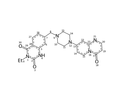 CCn1c(=O)[nH]c2cc(CN3CCN(c4ccn5c(=O)ccnc5c4)CC3)ccc2c1=O